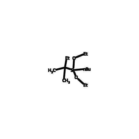 CCCC[Si](OCC)(OCC)C(C)(C)CC